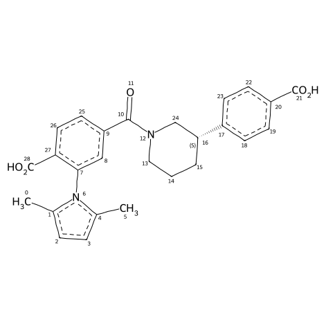 Cc1ccc(C)n1-c1cc(C(=O)N2CCC[C@@H](c3ccc(C(=O)O)cc3)C2)ccc1C(=O)O